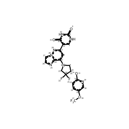 O=c1[nH]cc(-c2cc(N3C[C@H](Oc4ccc(OC(F)(F)F)cn4)C(F)(F)C3)c3nccn3n2)c(=O)[nH]1